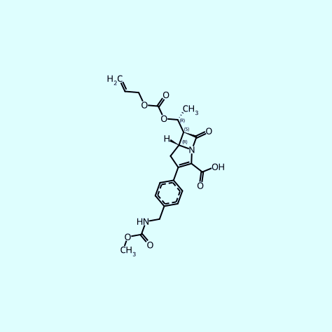 C=CCOC(=O)O[C@H](C)[C@H]1C(=O)N2C(C(=O)O)=C(c3ccc(CNC(=O)OC)cc3)C[C@H]12